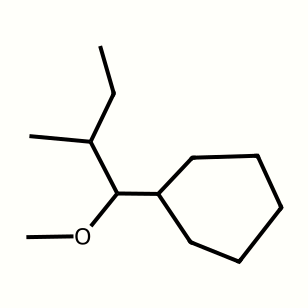 CCC(C)C(OC)C1CCCCC1